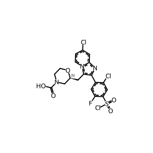 O=C(O)N1CCO[C@@H](Cc2c(-c3cc(F)c(S(=O)(=O)Cl)cc3Cl)nc3cc(Cl)ccn23)C1